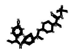 CCC(Nc1ccc(N(C)CC2CCC(N(C)C(=O)OC(C)(C)C)CC2)cc1)c1ccc(Cl)cc1